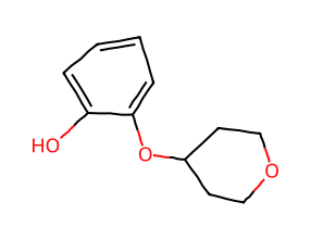 Oc1ccccc1OC1CCOCC1